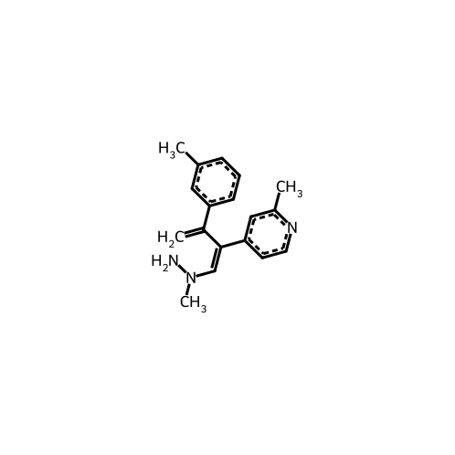 C=C(/C(=C\N(C)N)c1ccnc(C)c1)c1cccc(C)c1